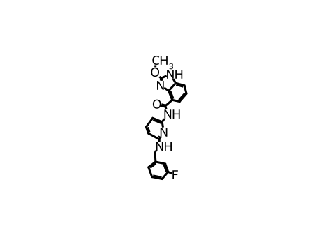 COc1nc2c(C(=O)Nc3cccc(NCc4cccc(F)c4)n3)cccc2[nH]1